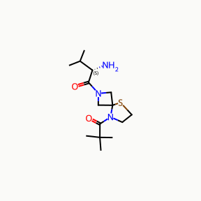 CC(C)[C@H](N)C(=O)N1CC2(C1)SCCN2C(=O)C(C)(C)C